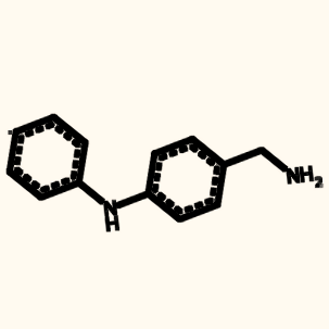 NCc1ccc(Nc2cc[c]cc2)cc1